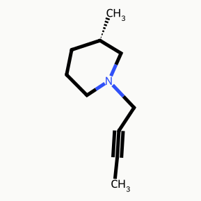 CC#CCN1CCC[C@H](C)C1